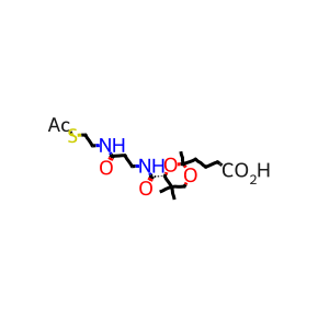 CC(=O)SCCNC(=O)CCNC(=O)[C@@H]1OC(C)(CCCC(=O)O)OCC1(C)C